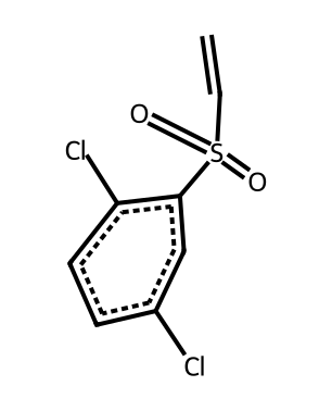 C=CS(=O)(=O)c1cc(Cl)ccc1Cl